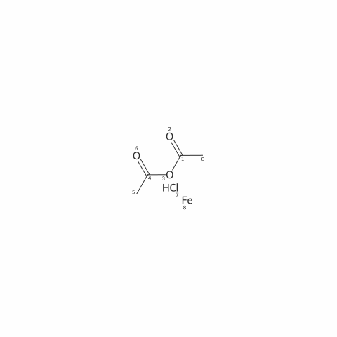 CC(=O)OC(C)=O.Cl.[Fe]